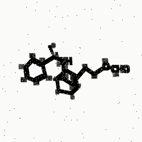 C[C@H](NC1C2CCC(CC2)C1CCOC=O)c1ccccc1